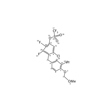 COCOc1ccc(Cc2c(Cl)cc(OS(=O)(=O)C(F)(F)F)c(F)c2F)cc1C(C)C